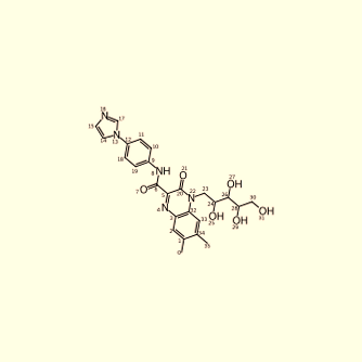 Cc1cc2nc(C(=O)Nc3ccc(-n4ccnc4)cc3)c(=O)n(CC(O)C(O)C(O)CO)c2cc1C